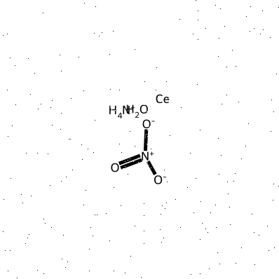 O.O=[N+]([O-])[O-].[Ce].[NH4+]